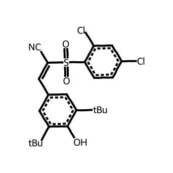 CC(C)(C)c1cc(C=C(C#N)S(=O)(=O)c2ccc(Cl)cc2Cl)cc(C(C)(C)C)c1O